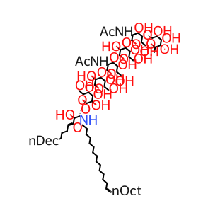 CCCCCCCC/C=C\CCCCCCCCCCCCCC(=O)N[C@@H](CO[C@@H]1OC(CO)[C@@H](O[C@@H]2OC(CO)[C@H](O)[C@H](O[C@@H]3OC(CO)[C@@H](O)[C@H](O[C@@H]4OC(CO)[C@H](O)[C@H](O[C@@H]5OC(CO)[C@@H](O[C@H]6OC(C)[C@@H](O)C(O)[C@@H]6O)[C@H](O)C5NC(C)=O)C4O)C3NC(C)=O)C2O)[C@H](O)C1O)[C@H](O)/C=C/CCCCCCCCCCCCC